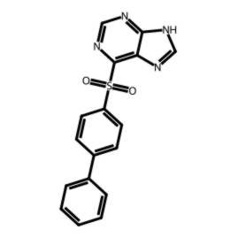 O=S(=O)(c1ccc(-c2ccccc2)cc1)c1ncnc2[nH]cnc12